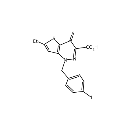 CCc1cc2c(s1)c(=S)c(C(=O)O)nn2Cc1ccc(I)cc1